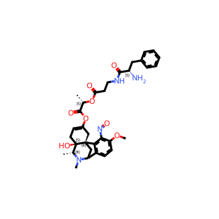 COc1ccc2c(c1N=O)[C@@]13CC(OC(=O)[C@H](C)OC(=O)CCNC(=O)[C@@H](N)Cc4ccccc4)=CC[C@@]1(O)[C@@H](C)N(C)C2C3